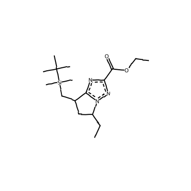 CCOC(=O)c1nc2n(n1)C(CC)CC2C[Si](C)(C)C(C)(C)C